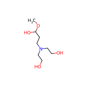 COC(O)CCN(CCO)CCO